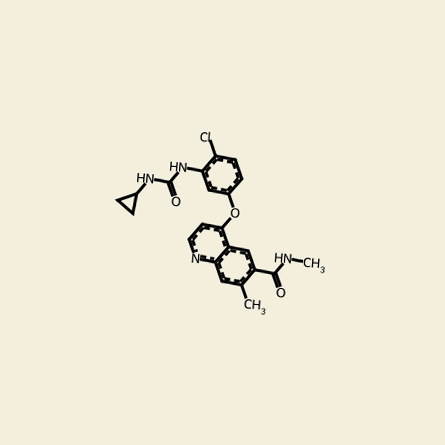 CNC(=O)c1cc2c(Oc3ccc(Cl)c(NC(=O)NC4CC4)c3)ccnc2cc1C